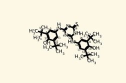 CC(C)(C)c1cc(Nc2nc(Nc3cc(C(C)(C)C)c(O)c(C(C)(C)C)c3)[nH]c(=S)n2)cc(C(C)(C)C)c1O